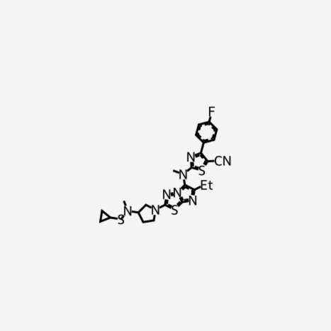 CCc1nc2sc(N3CCC(N(C)SC4CC4)C3)nn2c1N(C)c1nc(-c2ccc(F)cc2)c(C#N)s1